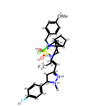 COc1ccc(CN2C3(CN(CC(F)(F)F)S2(=O)=O)C2CCC3CC(/C=C/C3=NN(C)C(c4ccc(F)cc4)C3)=C(Cl)C2)cc1